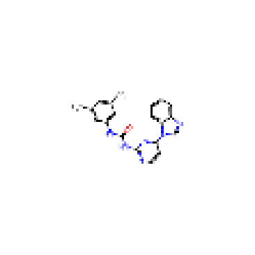 O=C(Nc1cc(C(F)(F)F)cc(C(F)(F)F)c1)Nc1nccc(-n2cnc3ccccc32)n1